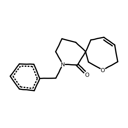 O=C1N(Cc2ccccc2)CCCC12CC=CCOC2